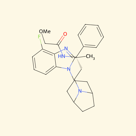 COCC(=O)N[C@@H](CCN1C2CCC1CC(n1c(C)nc3c(F)cccc31)C2)c1ccccc1